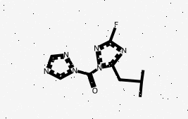 CC(C)Cc1nc(F)nn1C(=O)n1cncn1